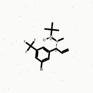 C=C[C@H](c1cc(Br)cc(C(F)(F)F)c1)N(C)[S@@+]([O-])C(C)(C)C